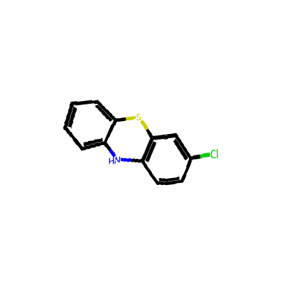 Clc1ccc2c(c1)Sc1ccccc1N2